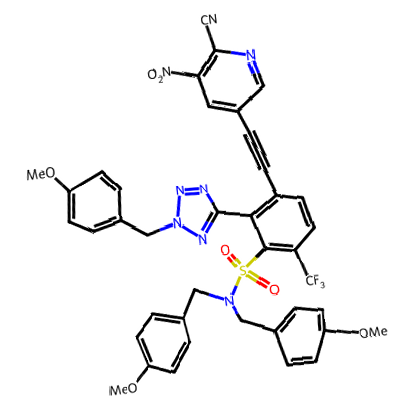 COc1ccc(CN(Cc2ccc(OC)cc2)S(=O)(=O)c2c(C(F)(F)F)ccc(C#Cc3cnc(C#N)c([N+](=O)[O-])c3)c2-c2nnn(Cc3ccc(OC)cc3)n2)cc1